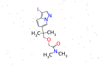 CN(C)C(=O)COCC(C)(C)c1ccc2c(I)cnn2c1